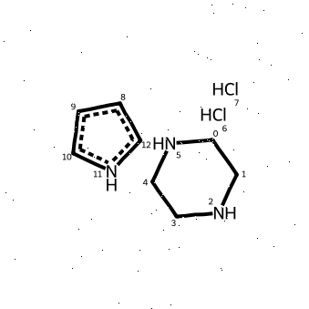 C1CNCCN1.Cl.Cl.c1cc[nH]c1